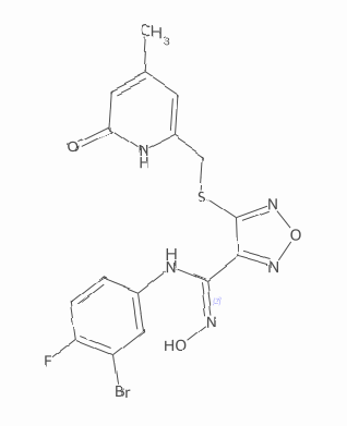 Cc1cc(CSc2nonc2/C(=N/O)Nc2ccc(F)c(Br)c2)[nH]c(=O)c1